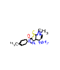 Cc1ccc(-n2cnc3c(c2=O)SC2C3=C(N)C=CN2C)cc1